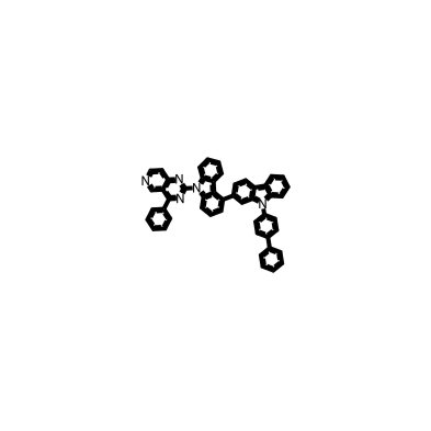 c1ccc(-c2ccc(-n3c4ccccc4c4ccc(-c5cccc6c5c5ccccc5n6-c5nc(-c6ccccc6)c6cnccc6n5)cc43)cc2)cc1